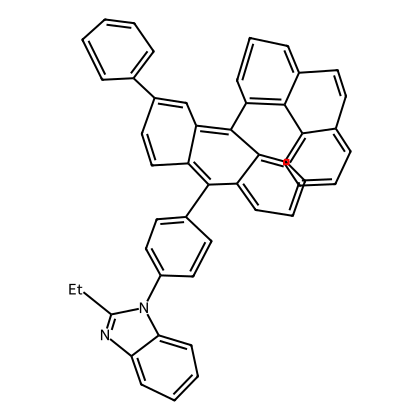 CCc1nc2ccccc2n1-c1ccc(-c2c3ccccc3c(-c3cccc4ccc5ccccc5c34)c3cc(-c4ccccc4)ccc23)cc1